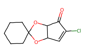 O=C1C(Cl)=CC2OC3(CCCCC3)OC12